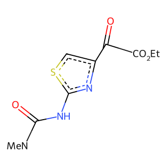 CCOC(=O)C(=O)c1csc(NC(=O)NC)n1